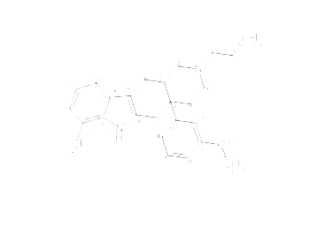 C=CCN1CCC2(c3cccc(OC)c3)Cc3[nH]c4c(Cl)cccc4c3CC2C1